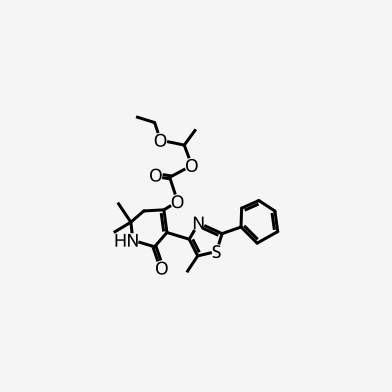 CCOC(C)OC(=O)OC1=C(c2nc(-c3ccccc3)sc2C)C(=O)NC(C)(C)C1